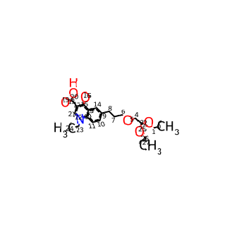 CCOC(COCCCc1ccc2c(c1)c(=O)c(C(=O)O)cn2CC)OCC